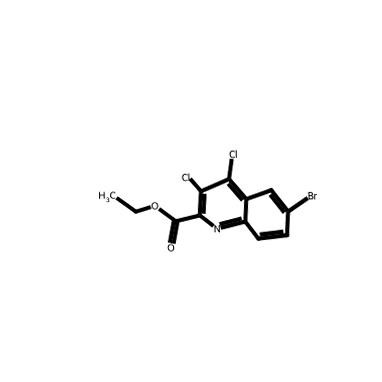 CCOC(=O)c1nc2ccc(Br)cc2c(Cl)c1Cl